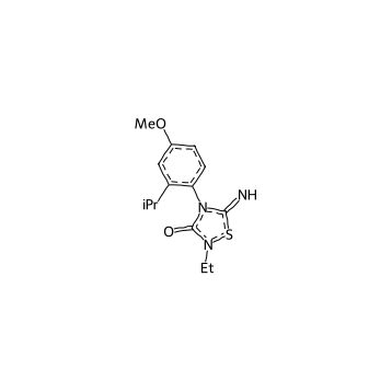 CCn1sc(=N)n(-c2ccc(OC)cc2C(C)C)c1=O